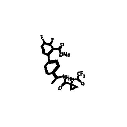 COC(=O)c1c(-c2ccc(C(C)NC(=O)C3(NC(=O)C(F)(F)F)CC3)cc2)ccc(F)c1F